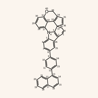 C1=Cc2c3n(c4ccc(-c5ccc(-c6cccc7ccccc67)cc5)cc24)-c2cccc4c2C2=C(C=CC23C1)CO4